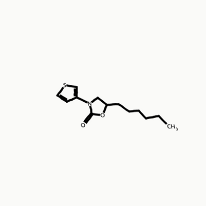 CCCCCCC1CN(c2ccsc2)C(=O)O1